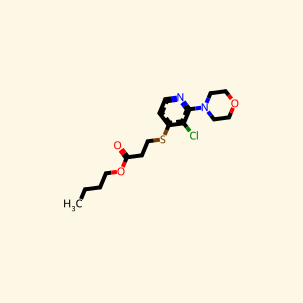 CCCCOC(=O)CCSc1ccnc(N2CCOCC2)c1Cl